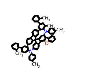 Cc1ccc(N(c2ccc(-c3ccccc3C)cc2)c2ccc3c(c2)C2(c4ccccc4-c4ccccc42)c2cc(N(c4ccc(C)cc4)c4ccc(-c5ccccc5C)cc4C)c4c(oc5ccccc54)c2-3)cc1